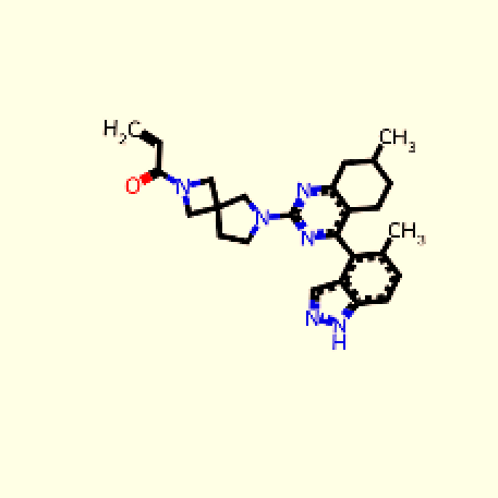 C=CC(=O)N1CC2(CCN(c3nc4c(c(-c5c(C)ccc6[nH]ncc56)n3)CCC(C)C4)C2)C1